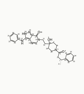 C[C@H](CC(=O)N1CCC(O)(CCn2cnc3c(Nc4ccccc4)[nH]nc3c2=O)CC1)c1ccccc1